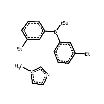 CCc1cccc(B(c2cccc(CC)c2)C(C)(C)C)c1.Cn1ccnc1